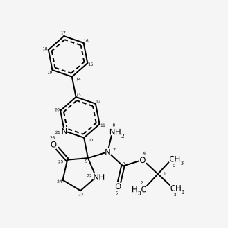 CC(C)(C)OC(=O)N(N)C1(c2ccc(-c3ccccc3)cn2)NCCC1=O